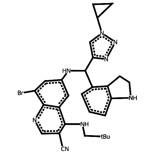 CC(C)(C)CNc1c(C#N)cnc2c(Br)cc(NC(c3cn(C4CC4)nn3)c3cccc4c3CCN4)cc12